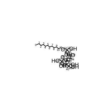 CCCCCCCCCCCCOCC(CO)(CO)COC(=O)C(C)(COC(=O)C(C)(CO)CO)COC(=O)C(C)(CO)CO